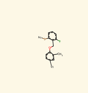 CCc1ccc(OCc2c(F)cccc2SC(C)=O)c(C)c1